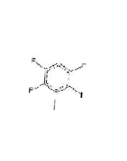 Fc1cc(F)c(I)c(I)c1F